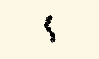 C[C@H](OC1CCCCO1)c1nccn1Cc1cn(-c2ccc(C#Cc3ccc(CN4CCOCC4)cc3)cc2)nn1